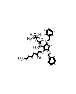 CCCCCC(O)COC1C(OCc2ccccc2)CC(OCc2ccccc2)C1N(C)C(=O)OC(C)(C)C